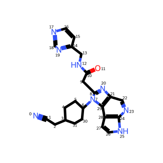 N#CCC1CCC(n2c(CC(=O)NCc3ccncn3)nc3cnc4[nH]ccc4c32)CC1